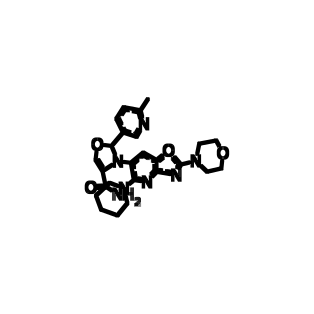 Cc1ccc(C2OC=C(C(N)=O)N2c2cc3oc(N4CCOCC4)nc3nc2N2CCCCC2)cn1